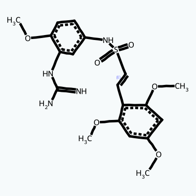 COc1cc(OC)c(/C=C/S(=O)(=O)Nc2ccc(OC)c(NC(=N)N)c2)c(OC)c1